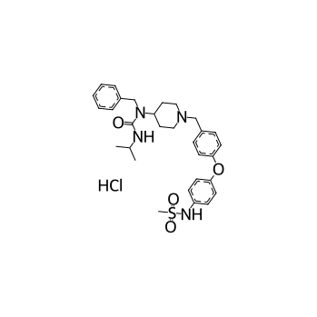 CC(C)NC(=O)N(Cc1ccccc1)C1CCN(Cc2ccc(Oc3ccc(NS(C)(=O)=O)cc3)cc2)CC1.Cl